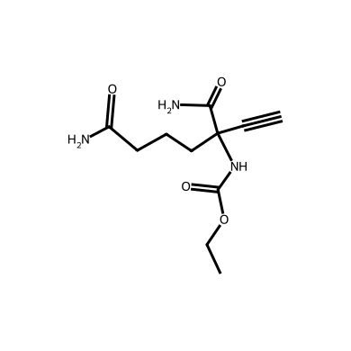 C#CC(CCCC(N)=O)(NC(=O)OCC)C(N)=O